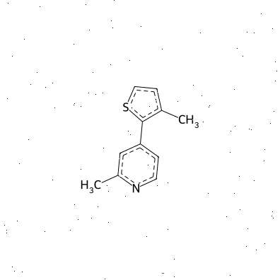 Cc1cc(-c2sccc2C)ccn1